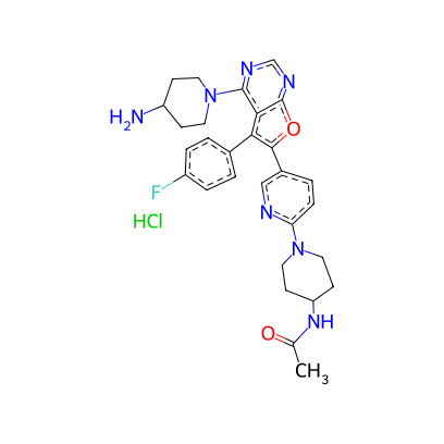 CC(=O)NC1CCN(c2ccc(-c3oc4ncnc(N5CCC(N)CC5)c4c3-c3ccc(F)cc3)cn2)CC1.Cl